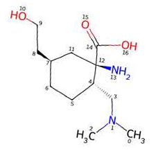 CN(C)C[C@@H]1CC[C@@H](CCO)C[C@]1(N)C(=O)O